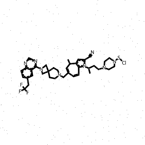 CC1C=C(CN2CCC3(CC2)CN(c2ncnc4ccc(CC(F)(F)F)cc24)C3)C=Cc2c1cc(C#N)n2C(C)CCN1CCN(SCl)CC1